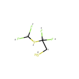 FC(F)SC(F)(F)CS